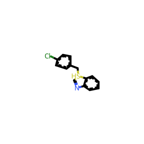 Clc1ccc(C[SH]2C=Nc3ccccc32)cc1